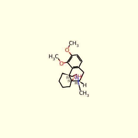 COc1ccc2c(c1OC)[C@@]13CCCC[C@@]1(O)[C@@H](C2)N(C)CC3